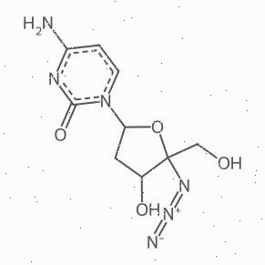 [N-]=[N+]=NC1(CO)OC(n2ccc(N)nc2=O)CC1O